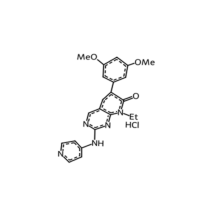 CCn1c(=O)c(-c2cc(OC)cc(OC)c2)cc2cnc(Nc3ccncc3)nc21.Cl